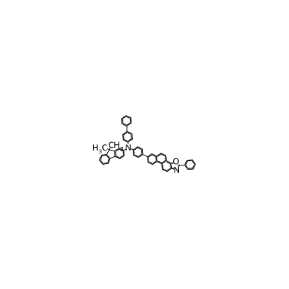 CC1(C)c2ccccc2-c2ccc(N(c3ccc(-c4ccccc4)cc3)c3ccc(-c4ccc5c(ccc6c5ccc5nc(-c7ccccc7)oc56)c4)cc3)cc21